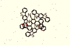 N#Cc1c(-n2c3ccccc3c3cc4sc5ccccc5c4cc32)c(-c2cccc3c2sc2ccccc23)c(-n2c3ccccc3c3cc4sc5ccccc5c4cc32)c(-c2cccc3c2sc2ccccc23)c1-n1c2ccccc2c2cc3sc4ccccc4c3cc21